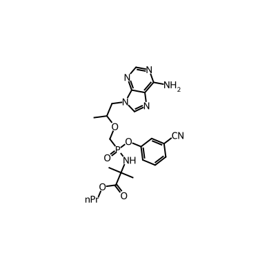 CCCOC(=O)C(C)(C)NP(=O)(COC(C)Cn1cnc2c(N)ncnc21)Oc1cccc(C#N)c1